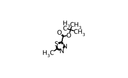 Cc1nnc(C(=O)OC(C)(C)C)s1